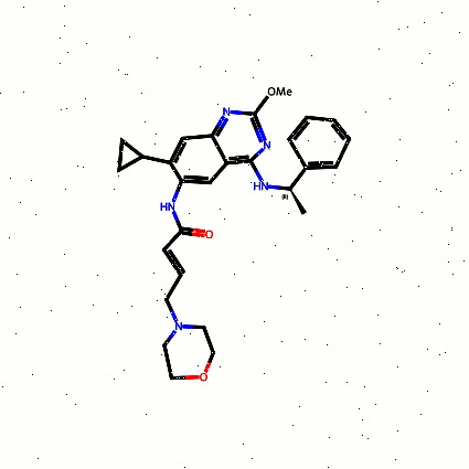 COc1nc(N[C@H](C)c2ccccc2)c2cc(NC(=O)C=CCN3CCOCC3)c(C3CC3)cc2n1